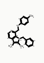 Cc1ccc(OCc2nccc3c(C)c(C)n(Cc4ccccc4)c23)cc1